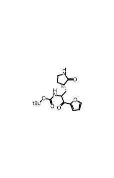 CC(C)(C)OC(=O)NC(C[C@@H]1CCNC1=O)C(=O)c1ccco1